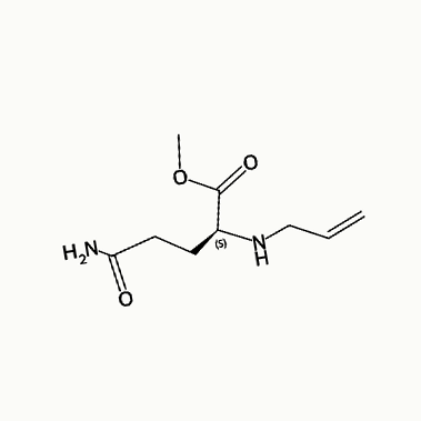 C=CCN[C@@H](CCC(N)=O)C(=O)OC